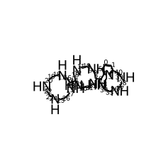 c1cc2nc(c1)C(C1CNCCNCC(C3CNCCCNCCNCCCN3)NCCN1)NCCNCCNC2